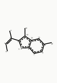 C/C=C(/C)c1sc2ccc(C)cc2c1C